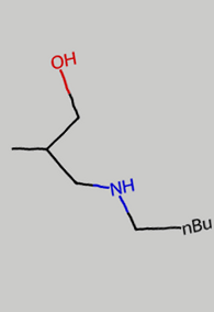 CCCCCNCC(C)CO